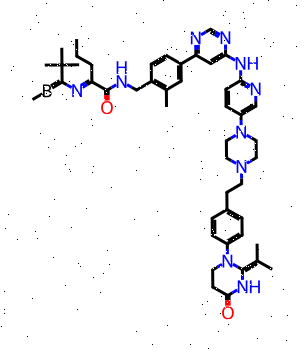 C/B=C(\N=C(/CCC)C(=O)NCc1ccc(-c2cc(Nc3ccc(N4CCN(CCc5ccc(N6CCC(=O)NC6=C(C)C)cc5)CC4)cn3)ncn2)cc1C)C(C)(C)C